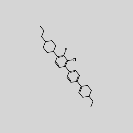 CCCC1CCC(c2ccc(-c3ccc(C4=CCC(CC)CC4)cc3)c(Cl)c2F)CC1